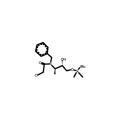 C[C@H]([C@H](O)CO[Si](C)(C)C(C)(C)C)N(Cc1ccccc1)C(=O)CCl